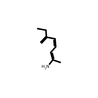 C=C(/C=C\C=C(/C)N)CC